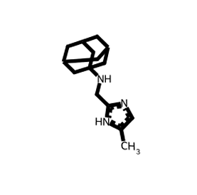 Cc1cnc(CNC23CC4CC(CC(C4)C2)C3)[nH]1